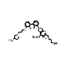 COc1nc(CNCCO)nc2c1CN(c1cccc(-c3cccc(OCCCN4CCC(O)C4)c3C)c1C)C2